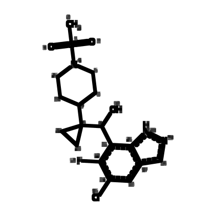 CS(=O)(=O)N1CCC(C2(C(O)c3c(F)c(Cl)cc4cn[nH]c34)CC2)CC1